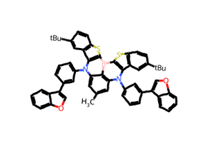 Cc1cc2c3c(c1)N(c1cccc(-c4coc5ccccc45)c1)c1c(sc4ccc(C(C)(C)C)cc14)B3c1sc3ccc(C(C)(C)C)cc3c1N2c1cccc(-c2coc3ccccc23)c1